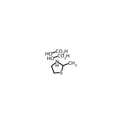 CC1NCCS1.O=C(O)O.O=C(O)O